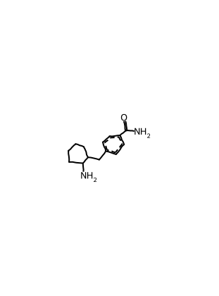 NC(=O)c1ccc(CC2CCCCC2N)cc1